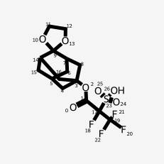 O=C(OC12CC3CC(C1)C1(OCCO1)C(C3)C2)C(F)(C(F)(F)F)S(=O)(=O)O